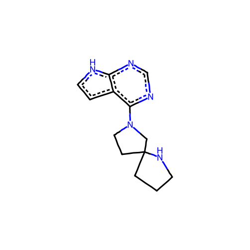 c1nc(N2CCC3(CCCN3)C2)c2cc[nH]c2n1